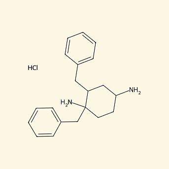 Cl.NC1CCC(N)(Cc2ccccc2)C(Cc2ccccc2)C1